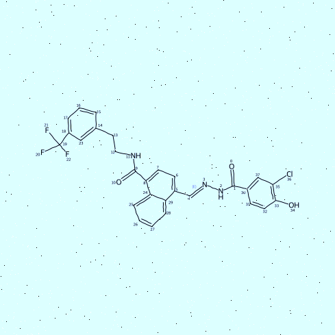 O=C(N/N=C/c1ccc(C(=O)NCCc2cccc(C(F)(F)F)c2)c2ccccc12)c1ccc(O)c(Cl)c1